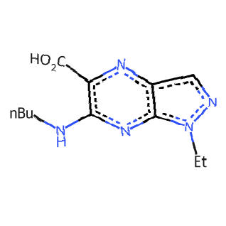 CCCCNc1nc2c(cnn2CC)nc1C(=O)O